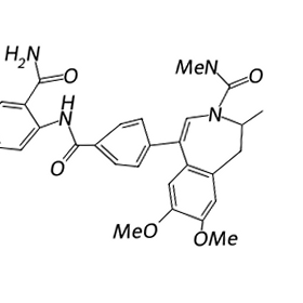 CNC(=O)N1C=C(c2ccc(C(=O)Nc3ccccc3C(N)=O)cc2)c2cc(OC)c(OC)cc2CC1C